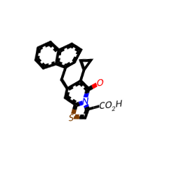 O=C(O)c1csc2cc(Cc3cccc4ccccc34)c(C3CC3)c(=O)n12